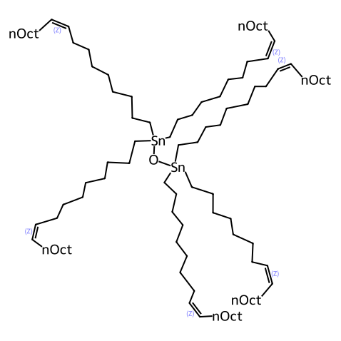 CCCCCCCC/C=C\CCCCCCC[CH2][Sn]([CH2]CCCCCCC/C=C\CCCCCCCC)([CH2]CCCCCCC/C=C\CCCCCCCC)[O][Sn]([CH2]CCCCCCC/C=C\CCCCCCCC)([CH2]CCCCCCC/C=C\CCCCCCCC)[CH2]CCCCCCC/C=C\CCCCCCCC